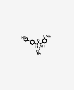 COc1cccc(C(NCCOC(C)C)C(=O)Nc2ccc(-c3cn[nH]c3)cc2)c1